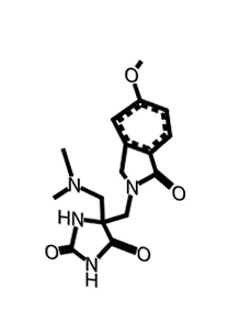 COc1ccc2c(c1)CN(CC1(CN(C)C)NC(=O)NC1=O)C2=O